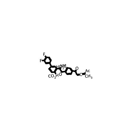 CC(=O)C(C)=C=CC(=O)c1ccc(C(=O)C(=N)c2cc(-c3ccc(F)c(F)c3)ccc2C(=O)O)c(C(=O)O)c1